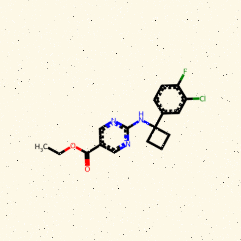 CCOC(=O)c1cnc(NC2(c3ccc(F)c(Cl)c3)CCC2)nc1